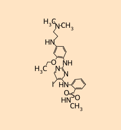 CCOc1cc(NCCN(C)C)ccc1Nc1ncc(I)c(Nc2ccccc2S(=O)(=O)NC)n1